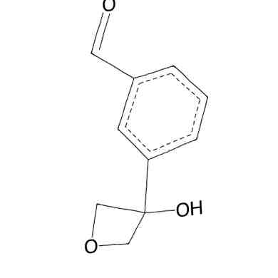 O=Cc1cccc(C2(O)COC2)c1